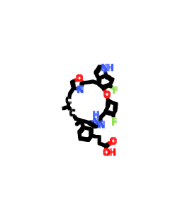 CC1CCc2coc(n2)Cc2c(c(F)cc3[nH]ccc23)Oc2ccc(F)c(c2)-c2ncc([nH]2)C(C)(c2cccc(CCC(=O)O)c2)CC1